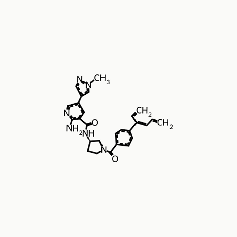 C=C/C=C(\C=C)c1ccc(C(=O)N2CC[C@@H](NC(=O)c3cc(-c4cnn(C)c4)cnc3N)C2)cc1